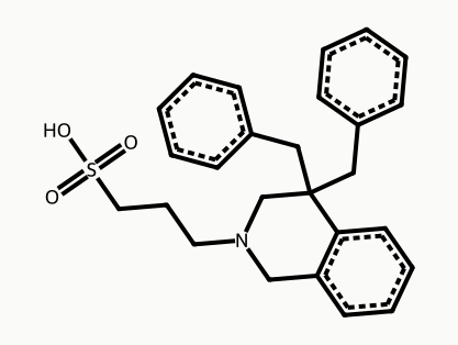 O=S(=O)(O)CCCN1Cc2ccccc2C(Cc2ccccc2)(Cc2ccccc2)C1